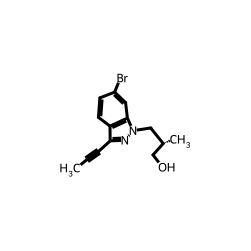 CC#Cc1nn(C[C@H](C)CO)c2cc(Br)ccc12